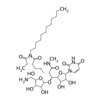 CCCCCCCCCCCCN1C(=O)C(C)[C@@H]([C@@H](O)CC[C@H](C(=O)NC)[C@H](OC2OC(CN)C(O)C2O)C2OC(n3ccc(=O)[nH]c3=O)C(O)C2O)C1=O